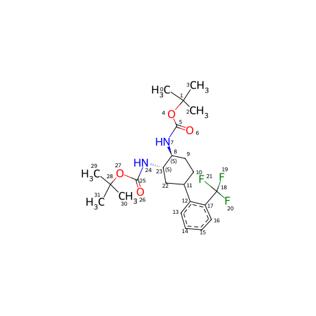 CC(C)(C)OC(=O)N[C@H]1CCC(c2ccccc2C(F)(F)F)C[C@@H]1NC(=O)OC(C)(C)C